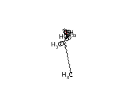 CCCCCCCCCCCCCCCCSCC(COC)COP(=O)(O)OC1CC2CCC(C1)[N+]2(C)C